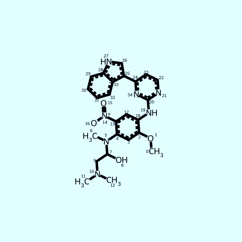 COc1cc(N(C)C(O)CN(C)C)c([N+](=O)[O-])cc1Nc1nccc(-c2c[nH]c3ccccc23)n1